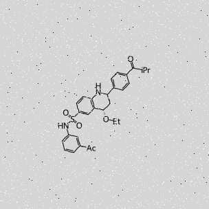 CCO[C@H]1CC(c2ccc(C(=O)C(C)C)cc2)Nc2ccc(S(=O)(=O)Nc3cccc(C(C)=O)c3)cc21